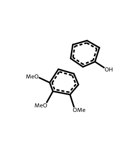 COc1cccc(OC)c1OC.Oc1ccccc1